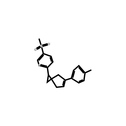 Cc1ccc(C2=CCC3(C2)CC3c2ccc(S(C)(=O)=O)cn2)cc1